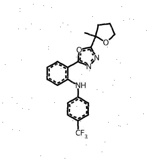 CC1(c2nnc(-c3ccccc3Nc3ccc(C(F)(F)F)cc3)o2)CCCO1